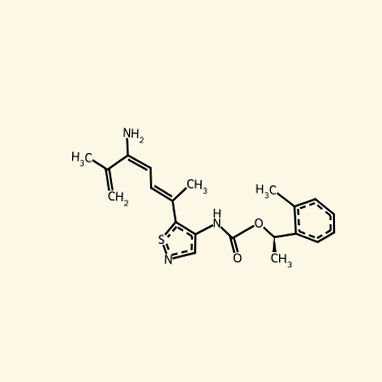 C=C(C)/C(N)=C\C=C(/C)c1sncc1NC(=O)O[C@H](C)c1ccccc1C